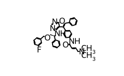 CN(C)C/C=C/C(=O)Nc1ccc(-c2c(-c3ccccc3)oc3ncnc(N[C@H](COCc4cccc(F)c4)c4ccccc4)c23)cc1